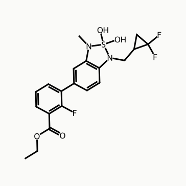 CCOC(=O)c1cccc(-c2ccc3c(c2)N(C)S(O)(O)N3CC2CC2(F)F)c1F